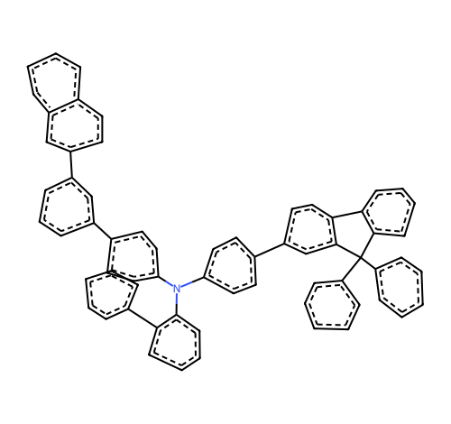 c1ccc(-c2ccccc2N(c2ccc(-c3cccc(-c4ccc5ccccc5c4)c3)cc2)c2ccc(-c3ccc4c(c3)C(c3ccccc3)(c3ccccc3)c3ccccc3-4)cc2)cc1